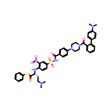 CN(C)CC[C@@H](Nc1ccc(S(=O)(=O)NC(=O)c2ccc(N3CCN(C(=O)c4ccccc4-c4ccc(N(C)C)cc4)CC3)cc2)cc1[N+](=O)[O-])C(=O)Sc1ccccc1